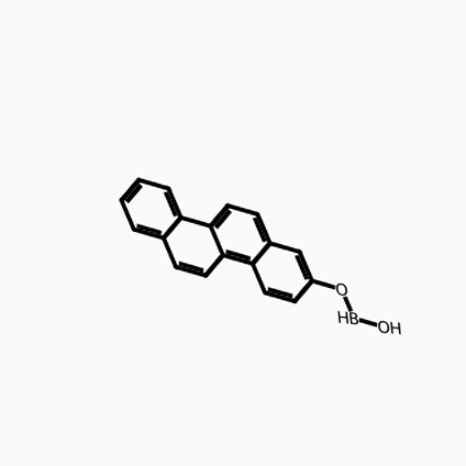 OBOc1ccc2c(ccc3c4ccccc4ccc23)c1